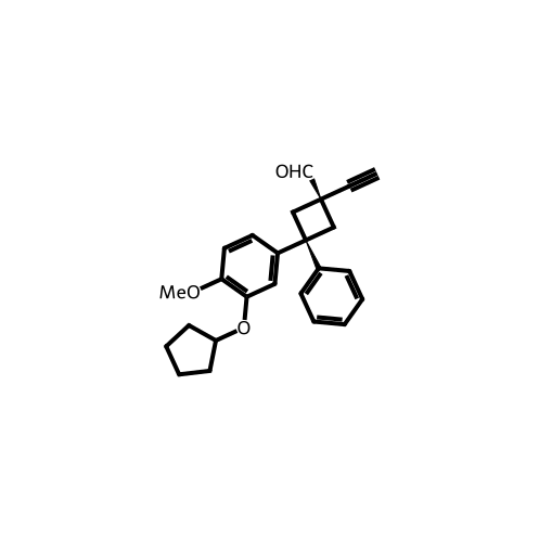 C#C[C@]1(C=O)C[C@](c2ccccc2)(c2ccc(OC)c(OC3CCCC3)c2)C1